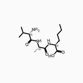 CCCC[C@H](NC(=O)[C@H](C)NC(=O)[C@@H](N)C(C)C)C(=O)O